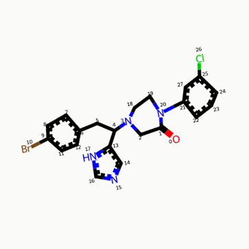 O=C1CN(C(Cc2ccc(Br)cc2)c2cnc[nH]2)CCN1c1cccc(Cl)c1